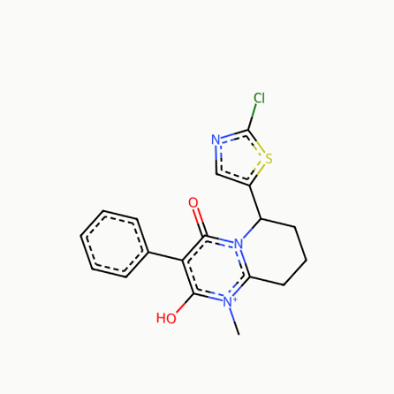 C[n+]1c(O)c(-c2ccccc2)c(=O)n2c1CCCC2c1cnc(Cl)s1